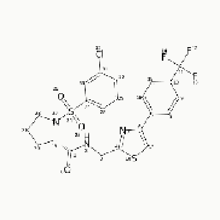 O=C(NCc1nc(-c2ccc(C(F)(F)F)cc2)cs1)[C@@H]1CCCN1S(=O)(=O)c1cccc(Cl)c1